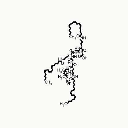 CCCCC/C=C\C/C=C\C/C=C\CCCCC(=O)NCCCC[C@H](NC(=O)CNC(=O)[C@H](CCCCNC(=O)CCCC/C=C\C/C=C\C/C=C\CCCCC)NC(=O)CNC(=O)[C@H](CCCCNC(=O)CCCC/C=C\C/C=C\C/C=C\CCCCC)NC(=O)CC(C)(C)CC(C)(C)CN=[N+]=[N-])C(=O)NCC(=O)O